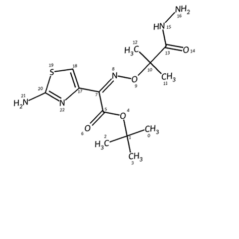 CC(C)(C)OC(=O)C(=NOC(C)(C)C(=O)NN)c1csc(N)n1